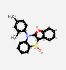 Cc1ccc(N2c3ccccc3[S+]([O-])c3c2oc2ccccc32)c(C)c1